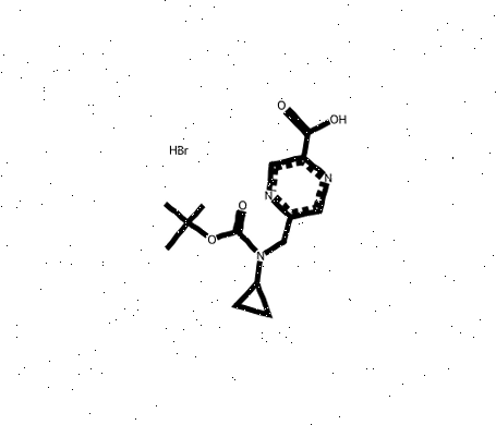 Br.CC(C)(C)OC(=O)N(Cc1cnc(C(=O)O)cn1)C1CC1